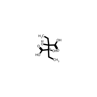 CCC(O)(C(=O)O)[C@](O)(CC)C(=O)O